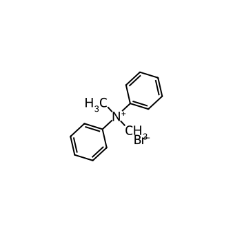 C[N+](C)(c1ccccc1)c1ccccc1.[Br-]